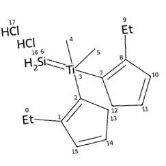 CCC1=[C]([Ti]([CH3])([CH3])(=[SiH2])[C]2=C(CC)C=CC2)CC=C1.Cl.Cl